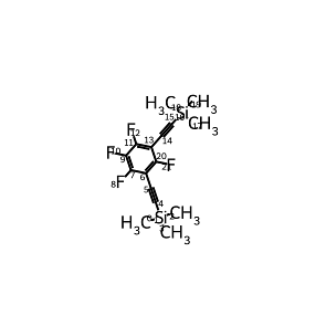 C[Si](C)(C)C#Cc1c(F)c(F)c(F)c(C#C[Si](C)(C)C)c1F